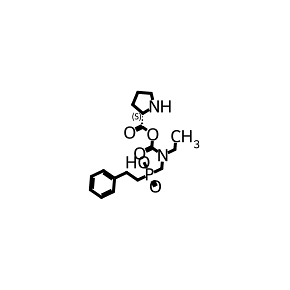 CCN(CP(=O)(O)CCc1ccccc1)C(=O)OC(=O)[C@@H]1CCCN1